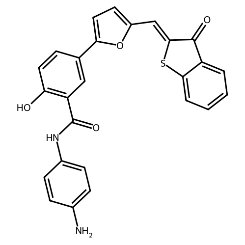 Nc1ccc(NC(=O)c2cc(-c3ccc(/C=C4\Sc5ccccc5C4=O)o3)ccc2O)cc1